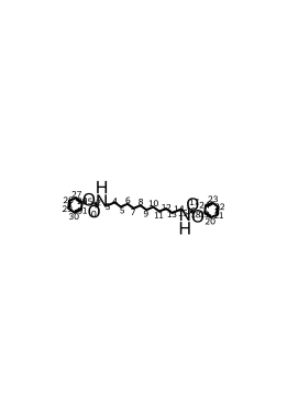 O=C(NCCCCCCCCCCCCNC(=O)Oc1ccccc1)Oc1ccccc1